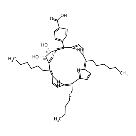 CCCCCCc1c2nc(c(CCCCCC)c3ccc([nH]3)c(-c3ccc(C(=O)O)cc3)c3nc(c(CCCCCC)c4ccc1[nH]4)[C@H](O)[C@@H]3O)C=C2